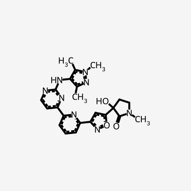 Cc1nn(C)c(C)c1Nc1nccc(-c2cccc(-c3cc(C4(O)CCN(C)C4=O)on3)n2)n1